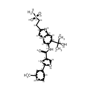 Cc1cc(-c2nc(C(=O)Nc3cn4cc(CCS(C)(=O)=O)nc4cc3C(C)(C)O)co2)ccn1